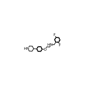 Fc1ccc(F)c(CNCCOc2ccc(C3CCNCC3)cc2)c1